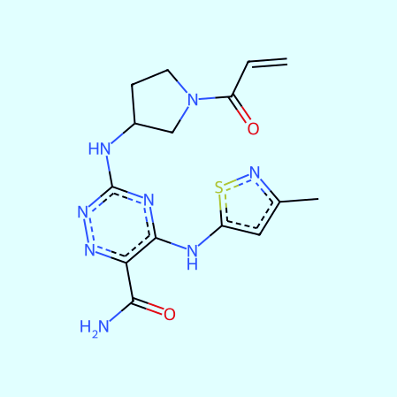 C=CC(=O)N1CCC(Nc2nnc(C(N)=O)c(Nc3cc(C)ns3)n2)C1